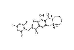 C[C@@]12CCCCO[C@@H]1Cn1cc(C(=O)NCc3c(F)cc(F)cc3F)c(=O)c(O)c1C2=O